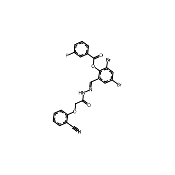 N#Cc1ccccc1OCC(=O)N/N=C/c1cc(Br)cc(Br)c1OC(=O)c1cccc(F)c1